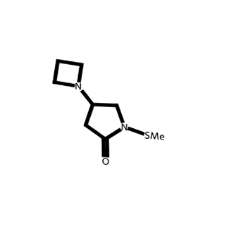 CSN1CC(N2CCC2)CC1=O